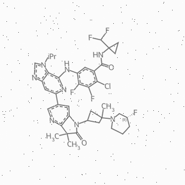 CC(C)n1cnc2cc(-c3cnc4c(c3)N(C3CC(C)(N5CCC[C@@H](F)C5)C3)C(=O)C4(C)C)nc(Nc3cc(C(=O)NC4(C(F)F)CC4)c(Cl)c(F)c3F)c21